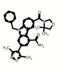 Cc1noc(C)c1-c1cc(C(N)=O)c2c3cc(C(=O)N4COCC4(C)C)ccc3n(Cc3ccccc3)c2c1